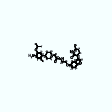 Cc1cc(N)c(OC(C)C)cc1C1CCN(CC(=O)NCCOc2ccc3occ(C4CCC(=O)NC4=O)c3c2)CC1